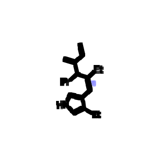 C=CC(=C)C(/C(=C\c1c[nH]cc1CC)CC)C(C)C